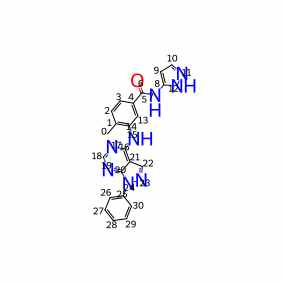 Cc1ccc(C(=O)Nc2ccn[nH]2)cc1Nc1ncnc2c1cnn2-c1ccccc1